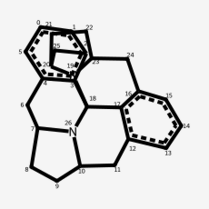 c1cc2c3c(c1)CC1CCC4Cc5cccc6c5C3(N3C(CCC3C6)C2)N14